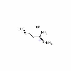 Br.C=CCS/C(N)=N/N